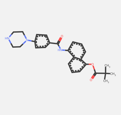 CC(C)(C)C(=O)Oc1cccc2c(NC(=O)c3ccc(N4CCNCC4)cc3)cccc12